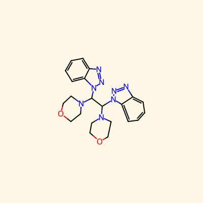 c1ccc2c(c1)nnn2C(C(N1CCOCC1)n1nnc2ccccc21)N1CCOCC1